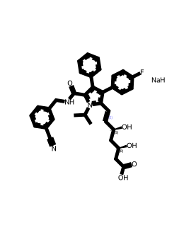 CC(C)n1c(/C=C/[C@@H](O)C[C@@H](O)CC(=O)O)c(-c2ccc(F)cc2)c(-c2ccccc2)c1C(=O)NCc1cccc(C#N)c1.[NaH]